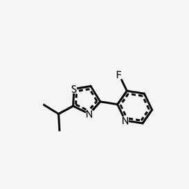 CC(C)c1nc(-c2ncccc2F)cs1